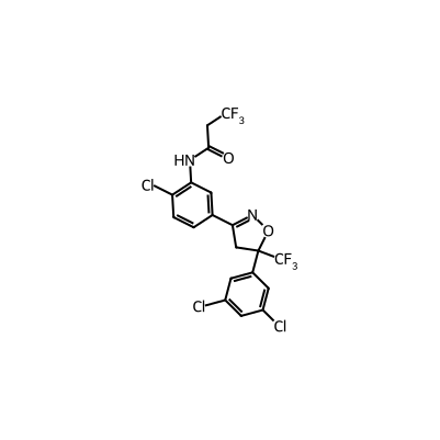 O=C(CC(F)(F)F)Nc1cc(C2=NOC(c3cc(Cl)cc(Cl)c3)(C(F)(F)F)C2)ccc1Cl